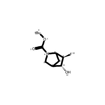 CC(C)(C)OC(=O)N1CC2CC1[C@@H](F)[C@@H]2O